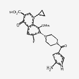 COc1c(N2CCN(C(=O)c3c[nH]c(N)c3)CC2)c(F)cc2c(=O)c(C(=O)O)cn(C3CC3)c12